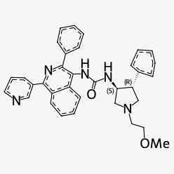 COCCN1C[C@@H](NC(=O)Nc2c(-c3ccccc3)nc(-c3cccnc3)c3ccccc23)[C@H](c2ccccc2)C1